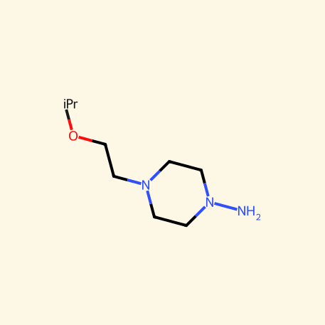 CC(C)OCCN1CCN(N)CC1